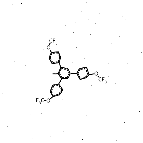 [CH2]c1c(-c2ccc(OC(F)(F)F)cc2)cc(-c2ccc(OC(F)(F)F)cc2)cc1-c1ccc(OC(F)(F)F)cc1